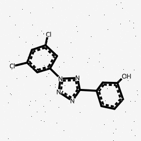 Oc1cccc(-c2nnn(-c3cc(Cl)cc(Cl)c3)n2)c1